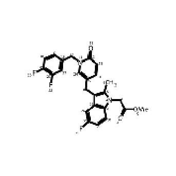 COC(=O)Cn1c(C)c(Cc2ccc(=O)n(Cc3ccc(F)c(F)c3)c2)c2cc(F)ccc21